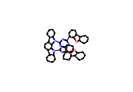 c1ccc2sc(-n3c4ccccc4c4ccc5c6ccccc6n(-c6nc(-c7cccc8c7oc7ccccc78)nc(-c7cccc8c7oc7ccccc78)n6)c5c43)nc2c1